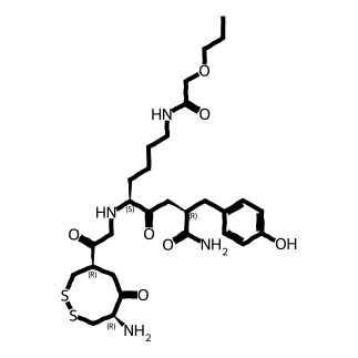 CCCOCC(=O)NCCCC[C@H](NCC(=O)[C@@H]1CSSC[C@H](N)C(=O)C1)C(=O)C[C@@H](Cc1ccc(O)cc1)C(N)=O